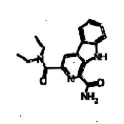 CCN(CC)C(=O)c1cc2c([nH]c3ccccc32)c(C(N)=O)n1